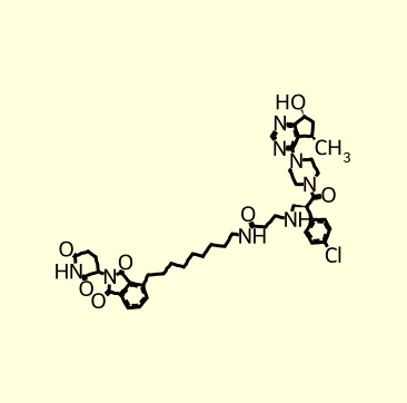 C[C@@H]1C[C@@H](O)c2ncnc(N3CCN(C(=O)[C@H](CNCCC(=O)NCCCCCCCCCc4cccc5c4C(=O)N(C4CCC(=O)NC4=O)C5=O)c4ccc(Cl)cc4)CC3)c21